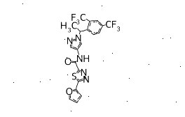 CC(c1ccc(C(F)(F)F)cc1C(F)(F)F)n1cc(NC(=O)c2nnc(-c3ccco3)s2)cn1